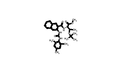 COC(=O)[C@@H](NC(=O)c1cc2ccccc2cc1NC(=O)Nc1c(C)cc(C)cc1C)C(C)OC(C)(C)C